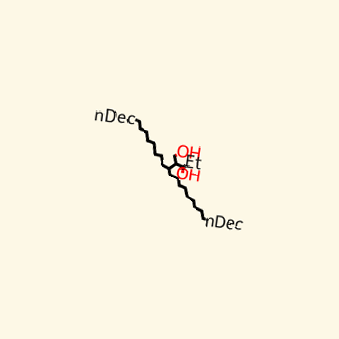 CCCCCCCCCCCCCCCCCCCC(CCCCCCCCCCCCCCCCCC)C(CO)C(O)CC